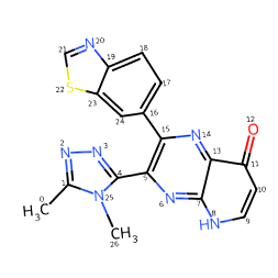 Cc1nnc(-c2nc3[nH]ccc(=O)c3nc2-c2ccc3ncsc3c2)n1C